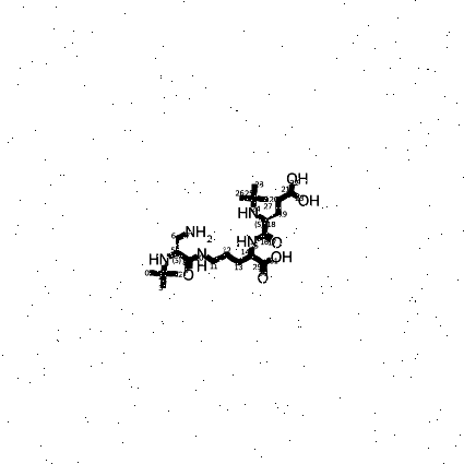 CC(C)(C)N[C@@H](CN)C(=O)NCCCC(NC(=O)[C@H](CCC(O)O)NC(C)(C)C)C(=O)O